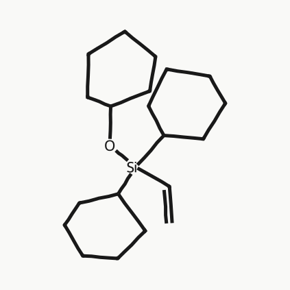 C=C[Si](OC1CCCCC1)(C1CCCCC1)C1CCCCC1